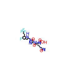 CN(C)C(=O)/C=C/CC[C@@H](CN(C)C(=O)O)C(=O)Nc1cncn(Cc2cc3cc(F)cc(CCC(F)(F)F)c3[nH]2)c1=O